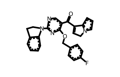 O=C(C1=CCn2cccc21)c1cnc(N2CCc3ccccc32)nc1OCc1ccc(F)cc1